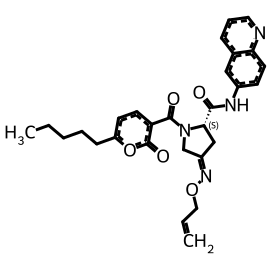 C=CCON=C1C[C@@H](C(=O)Nc2ccc3ncccc3c2)N(C(=O)c2ccc(CCCCC)oc2=O)C1